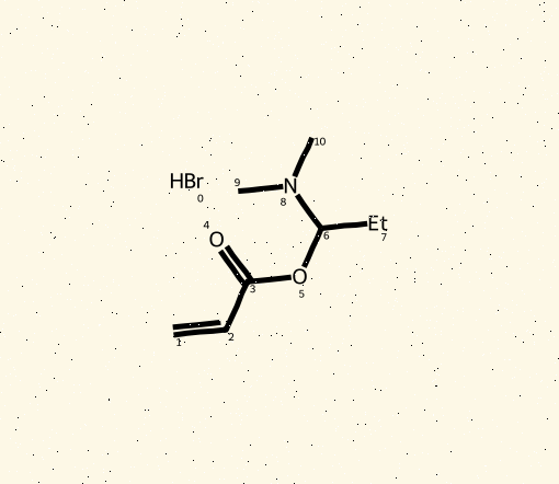 Br.C=CC(=O)OC(CC)N(C)C